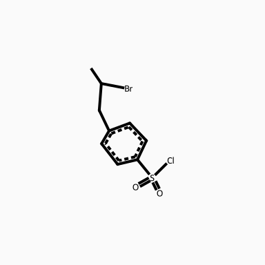 CC(Br)Cc1ccc(S(=O)(=O)Cl)cc1